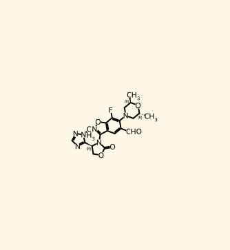 C[C@@H]1CN(c2c(C=O)cc3c(N4C(=O)OC[C@H]4c4ncnn4C)noc3c2F)C[C@@H](C)O1